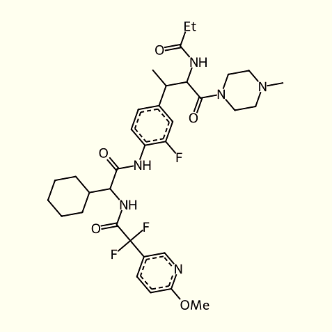 CCC(=O)NC(C(=O)N1CCN(C)CC1)C(C)c1ccc(NC(=O)C(NC(=O)C(F)(F)c2ccc(OC)nc2)C2CCCCC2)c(F)c1